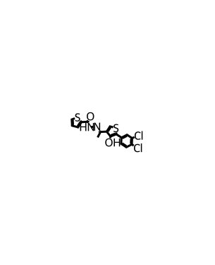 C/C(=N\NC(=O)c1cccs1)c1csc(-c2ccc(Cl)c(Cl)c2)c1O